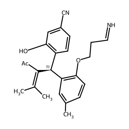 CC(=O)C(=C(C)C)[C@@H](c1ccc(C#N)cc1O)c1cc(C)ccc1OCCC=N